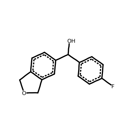 OC(c1ccc(F)cc1)c1ccc2c(c1)COC2